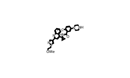 COCCn1cc(-c2cc(C3(NC(=O)c4cc(N5CCNCC5)ccc4C)CC3)c3ccccc3n2)cn1